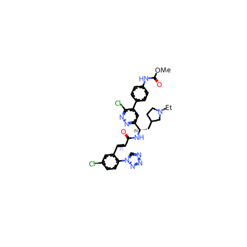 CCN1CCC(C[C@H](NC(=O)/C=C/c2cc(Cl)ccc2-n2cnnn2)c2cc(-c3ccc(NC(=O)OC)cc3)c(Cl)nn2)C1